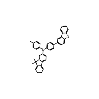 Cc1ccc(N(c2ccc(-c3ccc4oc5ccccc5c4c3)cc2)c2ccc3c(c2)C(C)(C)c2ccccc2-3)cc1